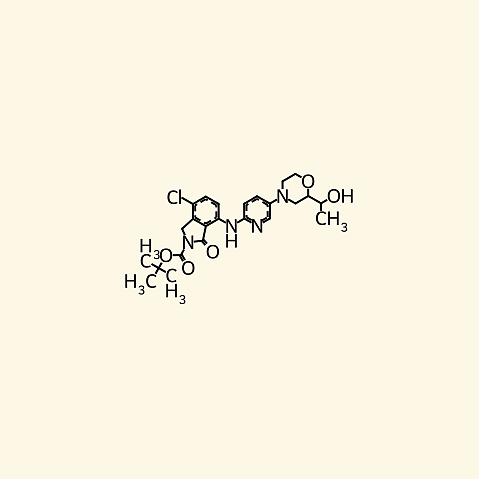 CC(O)C1CN(c2ccc(Nc3ccc(Cl)c4c3C(=O)N(C(=O)OC(C)(C)C)C4)nc2)CCO1